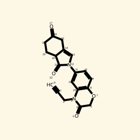 C#CCN1C(=O)COc2ccc(N3C=C4CC(=O)CCC4C3=O)cc21